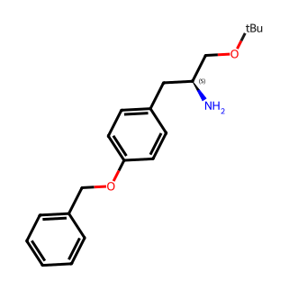 CC(C)(C)OC[C@@H](N)Cc1ccc(OCc2ccccc2)cc1